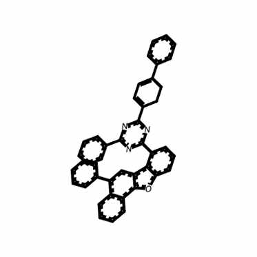 C1=C(c2ccccc2)CCC(c2nc(-c3ccccc3)nc(-c3cccc4oc5c6ccccc6c(-c6ccccc6)cc5c34)n2)=C1